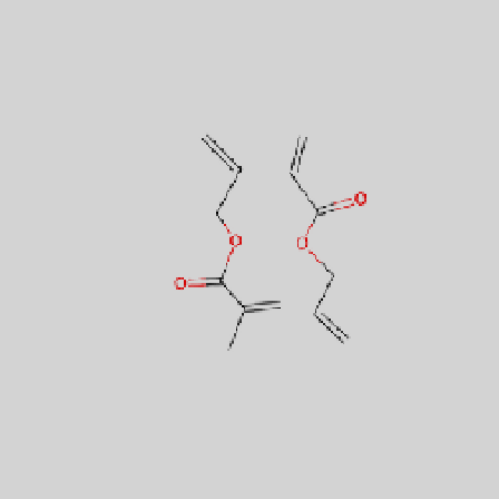 C=CCOC(=O)C(=C)C.C=CCOC(=O)C=C